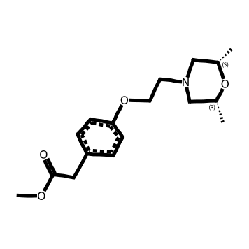 COC(=O)Cc1ccc(OCCN2C[C@@H](C)O[C@@H](C)C2)cc1